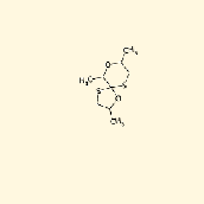 CC1CSC2(OC(C)CS2)C(C)O1